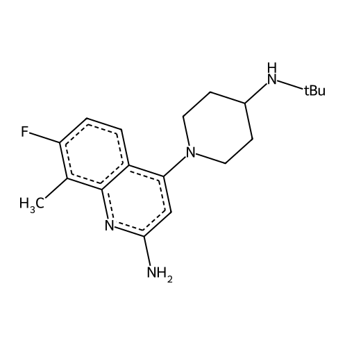 Cc1c(F)ccc2c(N3CCC(NC(C)(C)C)CC3)cc(N)nc12